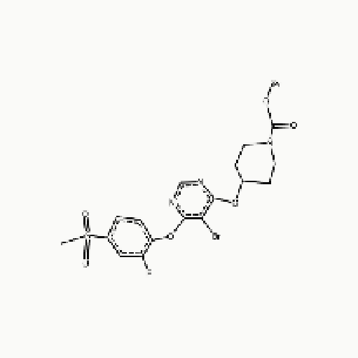 CC(C)OC(=O)N1CCC(Oc2ncnc(Oc3ccc(S(C)(=O)=O)cc3F)c2Br)CC1